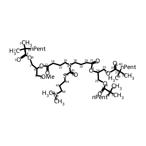 CCCCCC(C)(C)C(=O)OCC(COC)OC(=O)CCCN(CCCC(=O)OC(COC(=O)C(C)(C)CCCCC)COC(=O)C(C)(C)CCCCC)C(=O)SCCCN(C)C